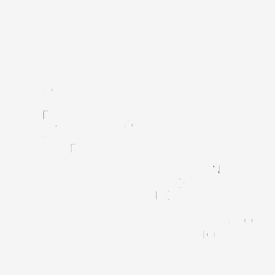 COc1cc(OCc2ccc(OC3CCCC3)c(C(F)(F)F)c2)ccc1CN1CC(C(=O)O)C1